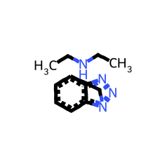 CCNCC.c1cc2c3nnn(c3c1)C2